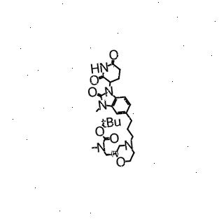 CN(C[C@H]1CN(CCCc2ccc3c(c2)n(C)c(=O)n3C2CCC(=O)NC2=O)CCO1)C(=O)OC(C)(C)C